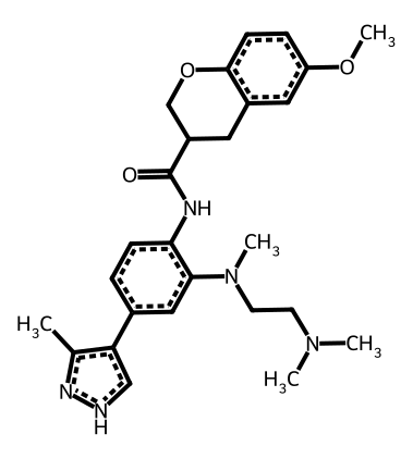 COc1ccc2c(c1)CC(C(=O)Nc1ccc(-c3c[nH]nc3C)cc1N(C)CCN(C)C)CO2